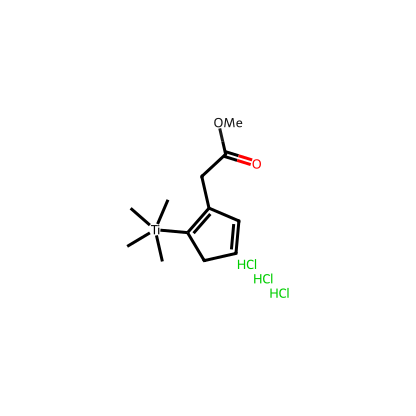 COC(=O)CC1=[C]([Ti]([CH3])([CH3])([CH3])[CH3])CC=C1.Cl.Cl.Cl